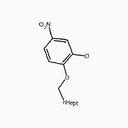 CCCCCCCCOc1ccc([N+](=O)[O-])cc1Cl